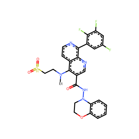 CCN(CC[SH](=O)=O)c1c(C(=O)NN2CCOc3ccccc32)cnc2c(-c3cc(F)cc(F)c3F)nccc12